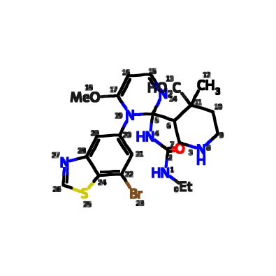 CCNC(=O)NC1(C2CNCCC2(C)C(=O)O)N=CC=C(OC)N1c1cc(Br)c2scnc2c1